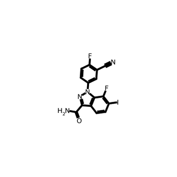 N#Cc1cc(-n2nc(C(N)=O)c3ccc(I)c(F)c32)ccc1F